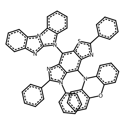 c1ccc(-c2nc3c(N4c5ccccc5Oc5ccccc54)c4c(nc(-c5ccccc5)n4-c4ccccc4)c(-n4c5ccccc5n5c6ccccc6nc45)c3s2)cc1